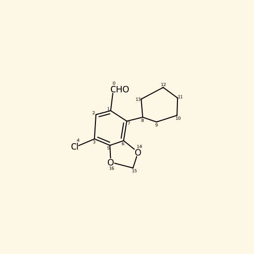 O=Cc1cc(Cl)c2c(c1C1CCCCC1)OCO2